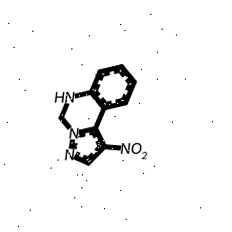 O=[N+]([O-])c1cnn2c1-c1ccccc1NC2